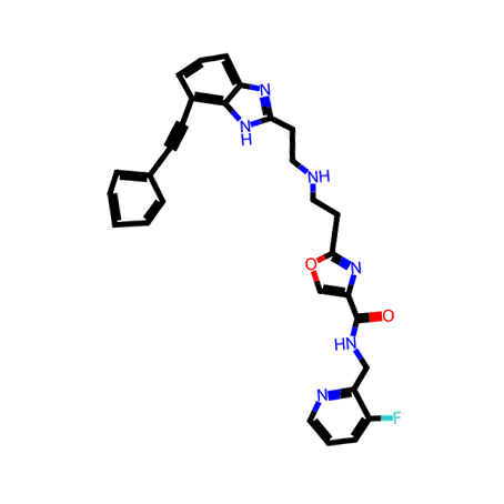 O=C(NCc1ncccc1F)c1coc(CCNCCc2nc3cccc(C#Cc4ccccc4)c3[nH]2)n1